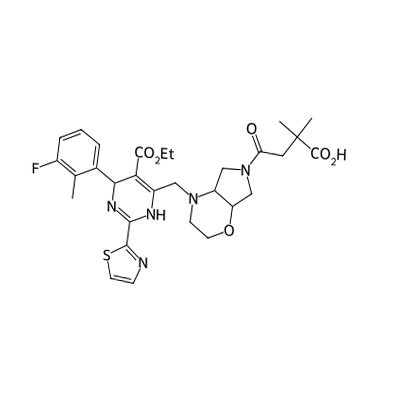 CCOC(=O)C1=C(CN2CCOC3CN(C(=O)CC(C)(C)C(=O)O)CC32)NC(c2nccs2)=NC1c1cccc(F)c1C